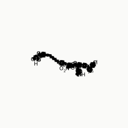 CC1(C)CCC(CN2CCN(c3ccc(C(=O)NS(=O)(=O)c4ccc(NCC5CCN(CCCCCCCCC#Cc6ccc7c(c6)CN(C6CCC(=O)NC6=O)C7=O)CC5)c([N+](=O)[O-])c4)c(Oc4cnc5[nH]ccc5c4)c3)CC2)=C(c2ccc(Cl)cc2)C1